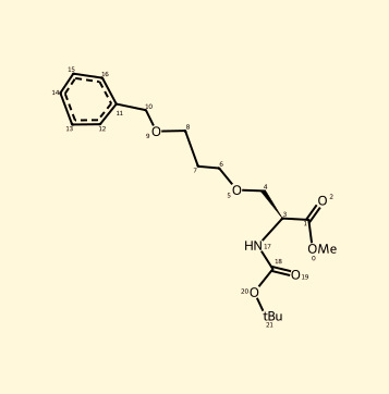 COC(=O)[C@H](COCCCOCc1ccccc1)NC(=O)OC(C)(C)C